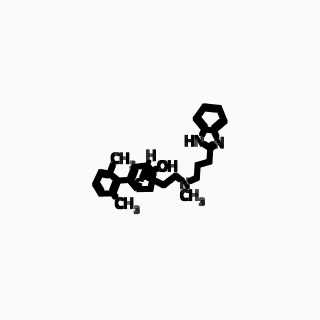 Cc1cccc(C)c1C1=C[C@@H]2CCC1CC2(O)CCN(C)CCCc1nc2ccccc2[nH]1